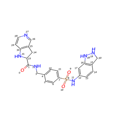 O=C(NCc1ccc(S(=O)(=O)Nc2ccc3c(c2)NNC3)cc1)C1Cc2cnccc2N1